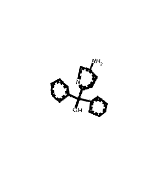 Nc1ccc(C(O)(c2ccccc2)c2ccccc2)nc1